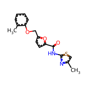 Cc1csc(NC(=O)c2ccc(COc3ccccc3C)o2)n1